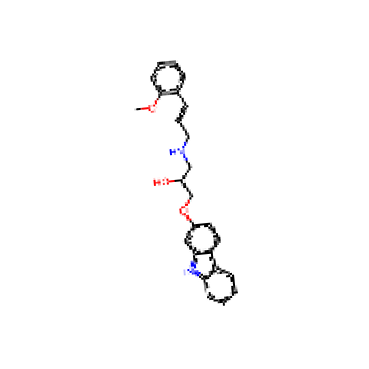 COc1ccccc1C=CCNCC(O)COc1ccc2c(c1)[nH]c1ccccc12